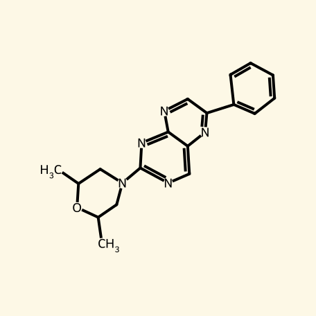 CC1CN(c2ncc3nc(-c4ccccc4)cnc3n2)CC(C)O1